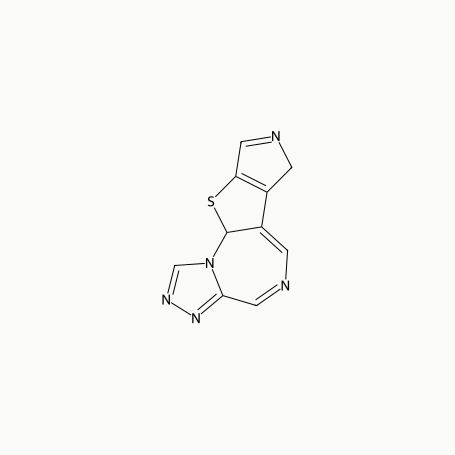 C1=NC=C2C3=C(C=NC3)SC2n2cnnc21